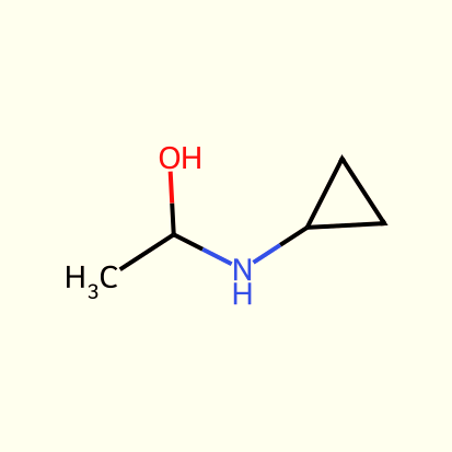 CC(O)NC1CC1